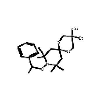 CCCCC1(CC)COC2(CC(C)(C)N(OC(C)c3ccccc3)C(C)(C)C2)OC1